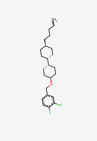 C=CCCC[C@H]1CC[C@H]([C@H]2CC[C@H](OCc3ccc(F)c(Cl)c3)CC2)CC1